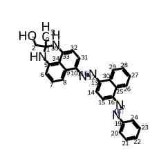 CC1(CO)Nc2cccc3c(/N=N/c4ccc(/N=N/c5ccccc5)c5ccccc45)ccc(c23)N1